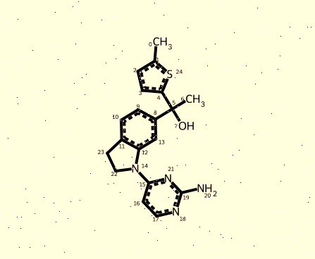 Cc1ccc(C(C)(O)c2ccc3c(c2)N(c2ccnc(N)n2)CC3)s1